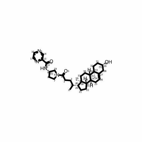 CC(CCC(=O)N1CC[C@H](NC(=O)c2cnccn2)C1)[C@H]1CC[C@H]2[C@@H]3CC=C4C[C@@H](O)CC[C@]4(C)[C@H]3CC[C@]12C